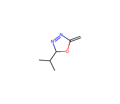 C=C1N=NC(C(C)C)O1